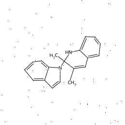 CC1=Cc2ccccc2NC1(C)n1ccc2ccccc21